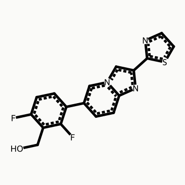 OCc1c(F)ccc(-c2ccc3nc(-c4nccs4)cn3c2)c1F